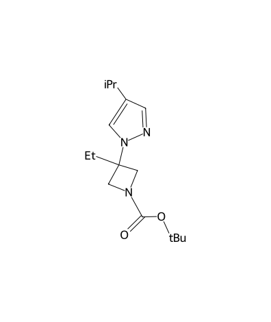 CCC1(n2cc(C(C)C)cn2)CN(C(=O)OC(C)(C)C)C1